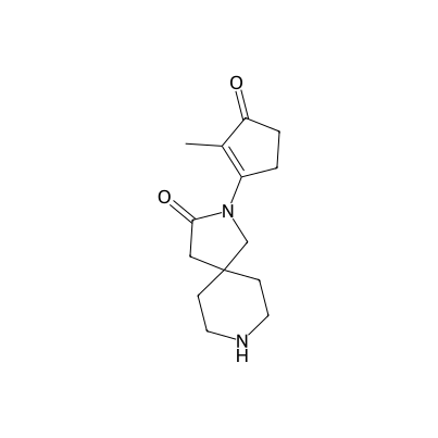 CC1=C(N2CC3(CCNCC3)CC2=O)CCC1=O